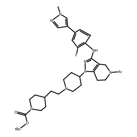 CC(=O)N1CCc2c(c(Nc3ccc(-c4cnn(C)c4)cc3F)nn2C2CCN(CCC3CCN(C(=O)OC(C)(C)C)CC3)CC2)C1